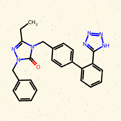 CCc1nn(Cc2ccccc2)c(=O)n1Cc1ccc(-c2ccccc2-c2nnn[nH]2)cc1